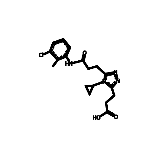 Cc1c(Cl)cccc1NC(=O)CCc1nnc(CCC(=O)O)n1C1CC1